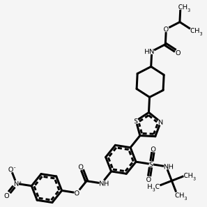 CC(C)OC(=O)NC1CCC(c2ncc(-c3ccc(NC(=O)Oc4ccc([N+](=O)[O-])cc4)cc3S(=O)(=O)NC(C)(C)C)s2)CC1